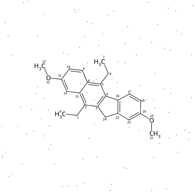 CCc1c2c(c(CC)c3ccc(OC)cc13)-c1ccc(OC)cc1C2